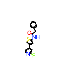 O=C(Cc1ccccc1)Nc1cc(-c2ccnc(F)c2)cs1